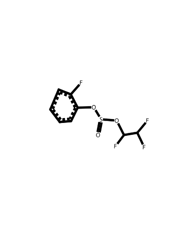 O=S(Oc1ccccc1F)OC(F)C(F)F